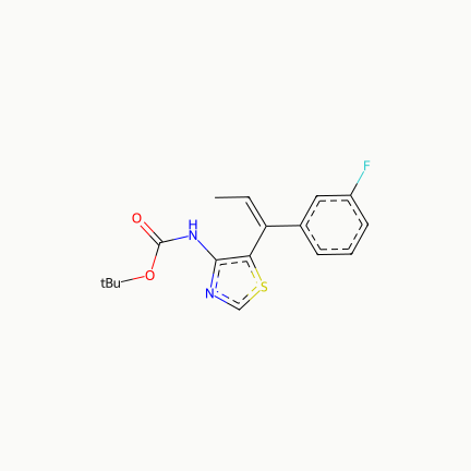 CC=C(c1cccc(F)c1)c1scnc1NC(=O)OC(C)(C)C